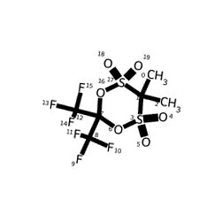 CC1(C)S(=O)(=O)OC(C(F)(F)F)(C(F)(F)F)OS1(=O)=O